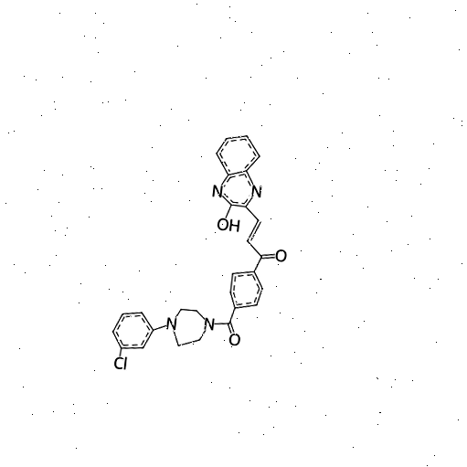 O=C(C=Cc1nc2ccccc2nc1O)c1ccc(C(=O)N2CCN(c3cccc(Cl)c3)CC2)cc1